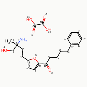 C[C@](N)(CO)CCc1ccc(C(=O)CCCCc2ccccc2)o1.O=C(O)C(=O)O